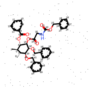 C[C@@H]1[C@@H](C)[C@H](OC(=O)c2ccccc2)[C@@H](OC(=O)CNC(=O)OCc2ccccc2)[C@H](OCc2ccccc2)[C@H]1OCc1ccccc1